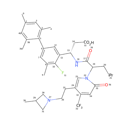 Cc1cc(C)c(-c2cc(C)c(F)c([C@H](CC(=O)O)NC(=O)C(CC(C)C)n3cc(CCN4CC(C)C4)c(C(F)(F)F)cc3=O)c2)c(C)c1